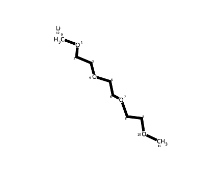 COCCOCCOCCOC.[Li]